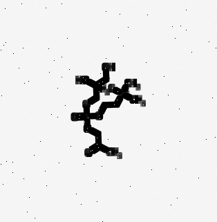 CC(=O)COP(=O)(OCC[N+](C)(C)C)OCC(O)CO